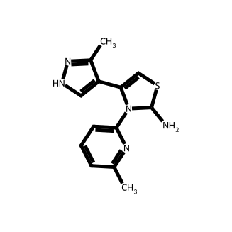 Cc1cccc(N2C(c3c[nH]nc3C)=CSC2N)n1